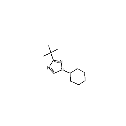 CC(C)(C)c1ncn(C2CCCCC2)n1